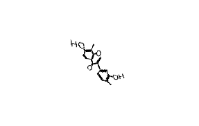 Cc1ccc(-c2coc3c(C)c(O)ccc3c2=O)cc1O